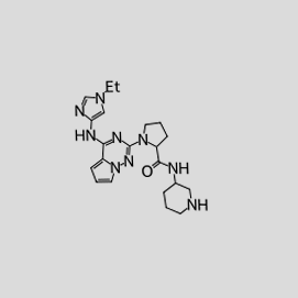 CCn1cnc(Nc2nc(N3CCCC3C(=O)NC3CCCNC3)nn3cccc23)c1